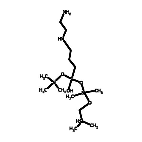 C[SiH](C)CO[Si](C)(C)O[Si](O)(CCCNCCN)O[Si](C)(C)C